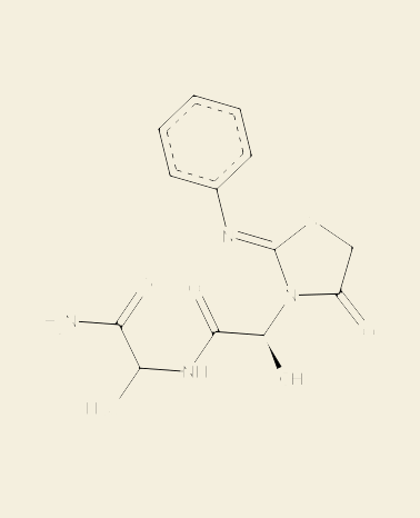 CC(NC(=O)[C@H](C)N1C(=O)CS/C1=N\c1ccccc1)C(N)=O